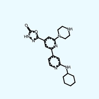 O=c1[nH]nc(-c2cc(-c3ccnc(NC4CCCCC4)c3)nc(N3CCNCC3)c2)o1